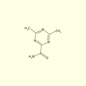 Cc1nc(C)nc(C(N)=O)n1